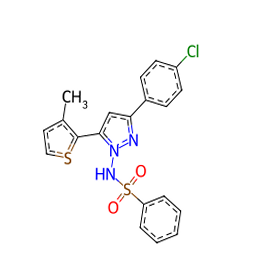 Cc1ccsc1-c1cc(-c2ccc(Cl)cc2)nn1NS(=O)(=O)c1ccccc1